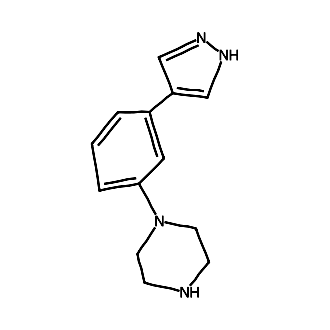 c1cc(-c2cn[nH]c2)cc(N2CCNCC2)c1